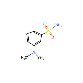 CN(C)c1cccc(S(N)(=O)=O)c1